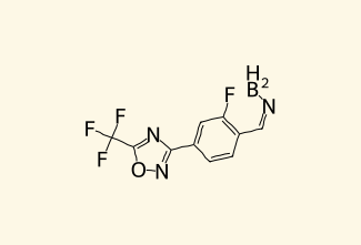 B/N=C\c1ccc(-c2noc(C(F)(F)F)n2)cc1F